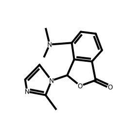 Cc1nccn1C1OC(=O)c2cccc(N(C)C)c21